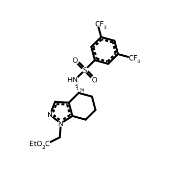 CCOC(=O)Cn1ncc2c1CCC[C@H]2NS(=O)(=O)c1cc(C(F)(F)F)cc(C(F)(F)F)c1